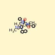 CC(N)Cc1ccccc1-c1cccc2ccccc12.Cc1c(CN2CCOC(c3ccccc3)C2C)c(=O)n(-c2ccccc2)n1C